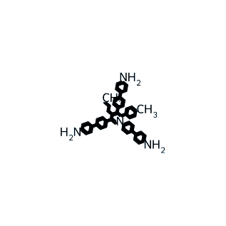 CCCCC1=C(c2ccc(-c3ccc(N)cc3)cc2)C(c2ccc(C)cc2)N(c2ccc(-c3ccc(N)cc3)cc2)C=C1c1ccc(-c2ccc(N)cc2)cc1